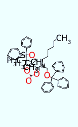 CCCCCC[C@@H](COC(c1ccccc1)(c1ccccc1)c1ccccc1)[C@H]1OC(=O)OC1(C)CO[Si](c1ccccc1)(c1ccccc1)C(C)(C)C